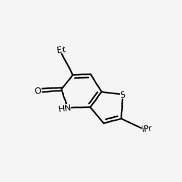 CCc1cc2sc(C(C)C)cc2[nH]c1=O